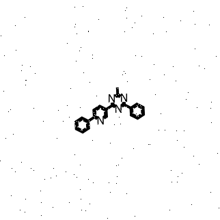 Cc1nc(-c2ccccc2)nc(-c2ccc(-c3ccccc3)nc2)n1